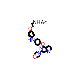 CC(=O)NCCOc1ccc(NC2CCC(Oc3nc(N4CCOCC4)cc4ncccc34)CC2)cc1